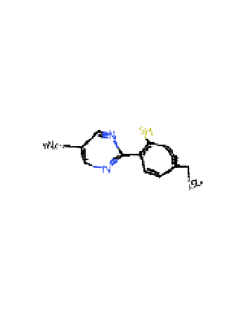 CCCCCCCCCc1cnc(-c2ccc(CC(C)CC)cc2S)nc1